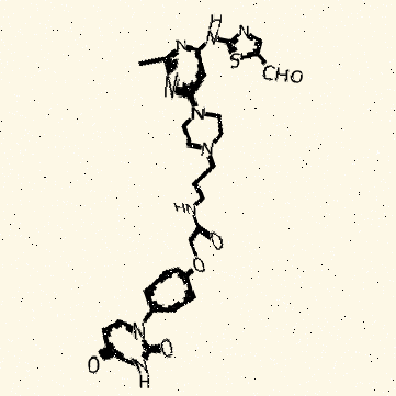 Cc1nc(Nc2ncc(C=O)s2)cc(N2CCN(CCCNC(=O)COc3ccc(-n4ccc(=O)[nH]c4=O)cc3)CC2)n1